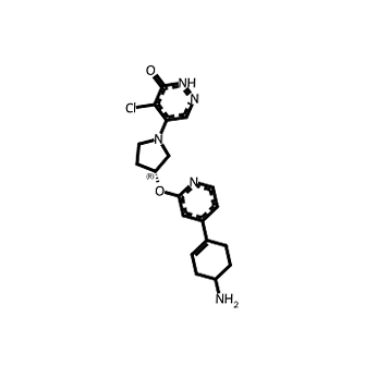 NC1CC=C(c2ccnc(O[C@@H]3CCN(c4cn[nH]c(=O)c4Cl)C3)c2)CC1